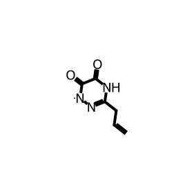 C=CCC1=N[N]C(=O)C(=O)N1